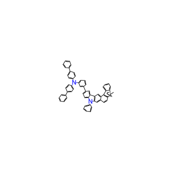 C[Si]1(C)c2ccccc2-c2c1ccc1cc3c(cc21)c1cc(-c2cccc(N(c4ccc(-c5ccccc5)cc4)c4ccc(-c5ccccc5)cc4)c2)ccc1n3-c1ccccc1